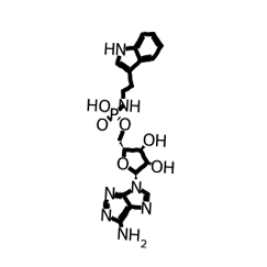 Nc1ncnc2c1ncn2[C@@H]1O[C@H](COP(=O)(O)NCCc2c[nH]c3ccccc23)[C@@H](O)[C@H]1O